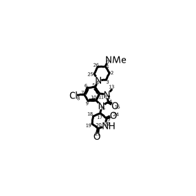 CNC1CCN(c2cc(Cl)cc3c2n(C)c(=O)n3C2CCC(=O)NC2=O)CC1